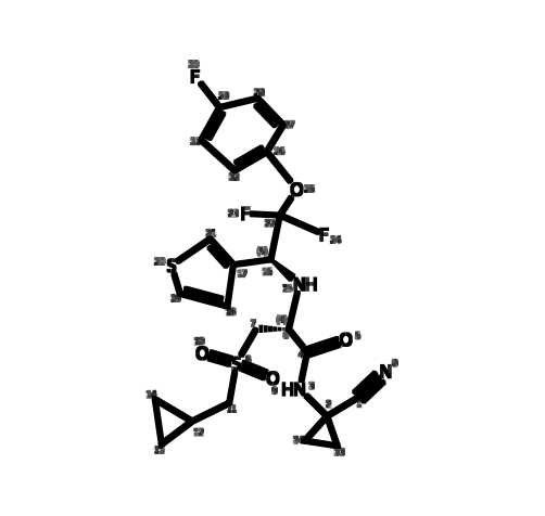 N#CC1(NC(=O)[C@H](CS(=O)(=O)CC2CC2)N[C@@H](c2ccsc2)C(F)(F)Oc2ccc(F)cc2)CC1